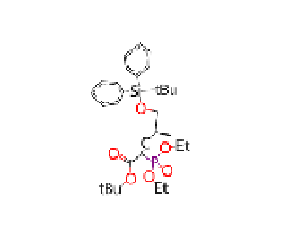 CCOP(=O)(OCC)C(C[C@H](C)CO[Si](c1ccccc1)(c1ccccc1)C(C)(C)C)C(=O)OC(C)(C)C